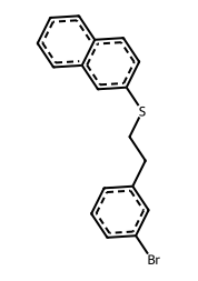 Brc1cccc(CCSc2ccc3ccccc3c2)c1